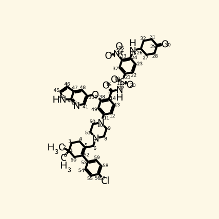 CC1(C)CCC(CN2CCN(c3ccc(C(=O)NS(=O)(=O)c4ccc(NC5CCC(=O)CC5)c([N+](=O)[O-])c4)c(Oc4cnc5[nH]ccc5c4)c3)CC2)=C(c2ccc(Cl)cc2)C1